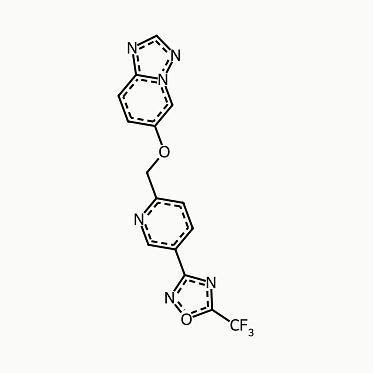 FC(F)(F)c1nc(-c2ccc(COc3ccc4ncnn4c3)nc2)no1